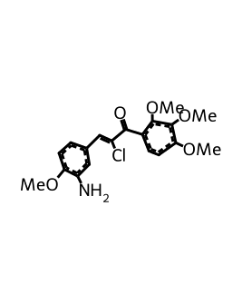 COc1ccc(C=C(Cl)C(=O)c2ccc(OC)c(OC)c2OC)cc1N